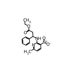 CCOC(=O)CC(Nc1nc(C)ccc1[N+](=O)[O-])c1ccccc1